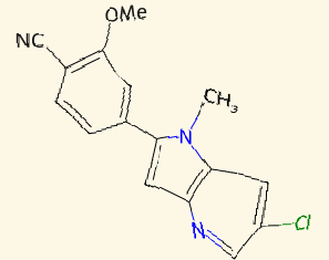 COc1cc(-c2cc3ncc(Cl)cc3n2C)ccc1C#N